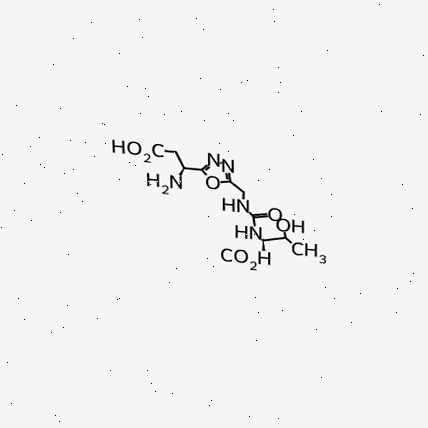 CC(O)[C@H](NC(=O)NCc1nnc([C@@H](N)CC(=O)O)o1)C(=O)O